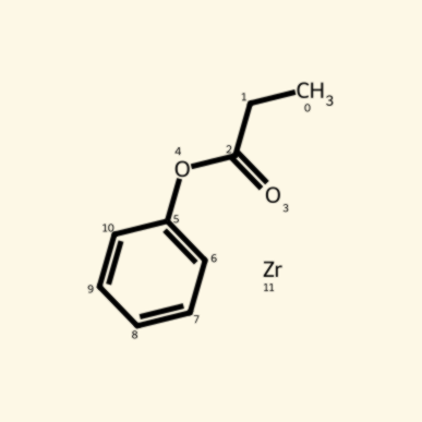 CCC(=O)Oc1ccccc1.[Zr]